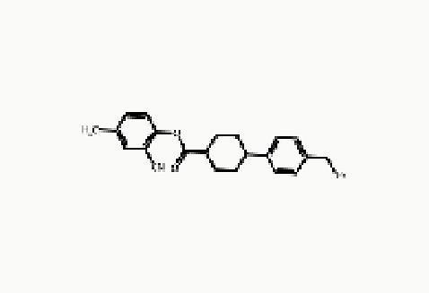 Cc1ccc(OC(=O)C2CCC(c3ccc(CC(C)C)cc3)CC2)c(C#N)c1